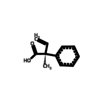 C=C[C@](C)(C(=O)O)c1ccccc1